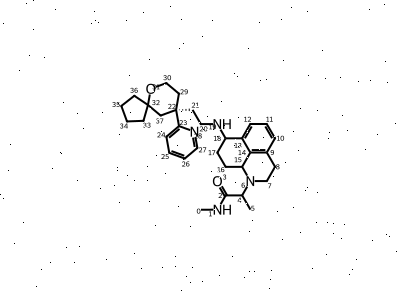 CNC(=O)C(C)N1CCc2cccc3c2C1CCC3NCC[C@@]1(c2ccccn2)CCOC2(CCCC2)C1